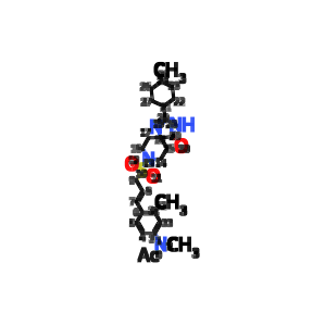 CC(=O)N(C)c1ccc(C=CCS(=O)(=O)N2CCC3(CC2)N=C(C2CCC(C)CC2)NC3=O)c(C)c1